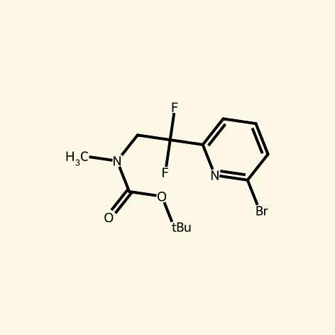 CN(CC(F)(F)c1cccc(Br)n1)C(=O)OC(C)(C)C